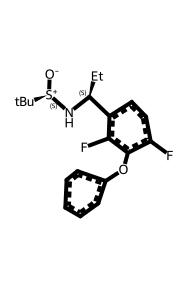 CC[C@H](N[S@+]([O-])C(C)(C)C)c1ccc(F)c(Oc2ccccc2)c1F